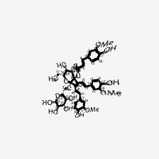 COc1cc(C=CC(=O)O[C@]2(C(=O)C=Cc3ccc(O)c(OC)c3)[C@@H](O)[C@H](O)[C@@H](CO)O[C@]2(OC[C@H]2O[C@@H](O)[C@H](O)[C@@H](O)[C@@H]2O)C(=O)C=Cc2ccc(O)c(OC)c2)ccc1O